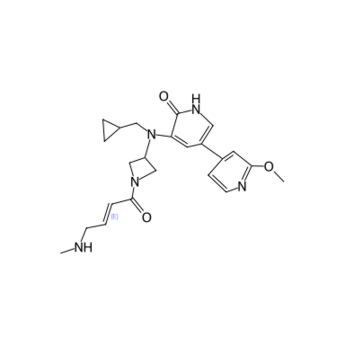 CNC/C=C/C(=O)N1CC(N(CC2CC2)c2cc(-c3ccnc(OC)c3)c[nH]c2=O)C1